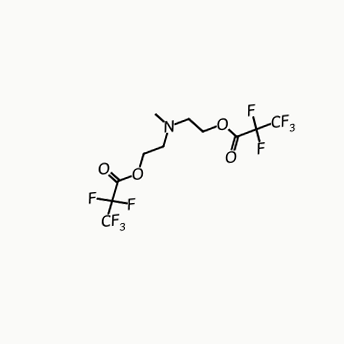 CN(CCOC(=O)C(F)(F)C(F)(F)F)CCOC(=O)C(F)(F)C(F)(F)F